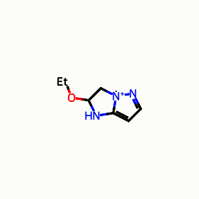 CCOC1C[N+]2N=CC=C2N1